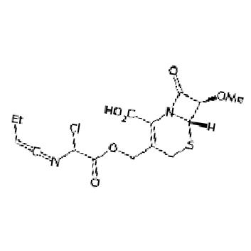 CCC=C=NC(Cl)C(=O)OCC1=C(C(=O)O)N2C(=O)[C@@H](OC)[C@@H]2SC1